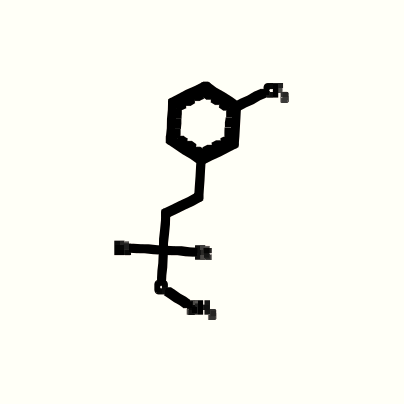 CCC(CC)(CCc1cccc(C(F)(F)F)c1)O[SiH3]